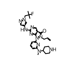 C=CCn1c(=O)c2cnc(Nc3cnn(CC(C)(C)F)c3)nc2n1-c1cccc(N(C)C2CCNCC2)n1